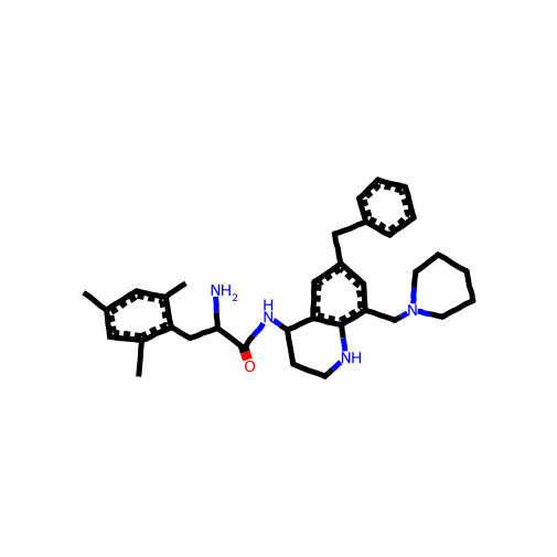 Cc1cc(C)c(CC(N)C(=O)NC2CCNc3c(CN4CCCCC4)cc(Cc4ccccc4)cc32)c(C)c1